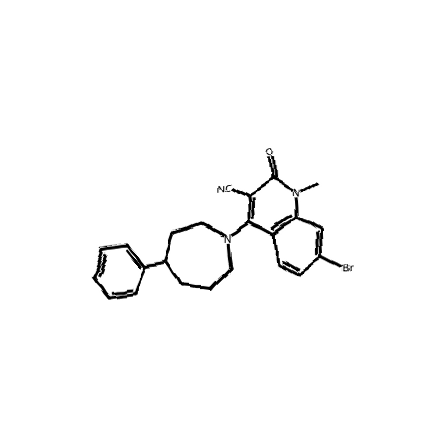 Cn1c(=O)c(C#N)c(N2CCCC(c3ccccc3)CC2)c2ccc(Br)cc21